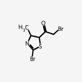 CC1N=C(Br)SC1C(=O)CBr